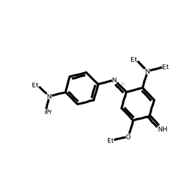 CCOC1=C/C(=N\c2ccc(N(CC)C(C)C)cc2)C(N(CC)CC)=CC1=N